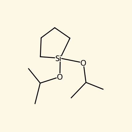 CC(C)O[Si]1(OC(C)C)CCCC1